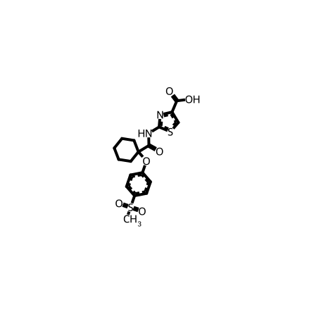 CS(=O)(=O)c1ccc(OC2(C(=O)Nc3nc(C(=O)O)cs3)CCCCC2)cc1